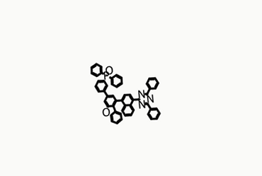 O=P(c1ccccc1)(c1ccccc1)c1cccc(-c2cc(-c3ccc(-c4nc(-c5ccccc5)nc(-c5ccccc5)n4)c4ccccc34)c3c(c2)oc2ccccc23)c1